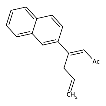 C=CCC(=CC(C)=O)c1ccc2ccccc2c1